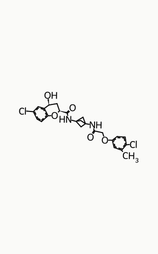 Cc1cc(OCC(=O)NC23CC(NC(=O)[C@@H]4C[C@H](O)c5cc(Cl)ccc5O4)(C2)C3)ccc1Cl